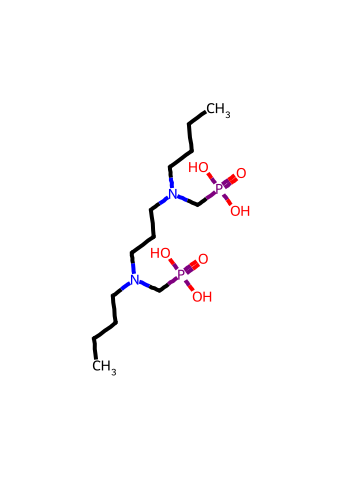 CCCCN(CCCN(CCCC)CP(=O)(O)O)CP(=O)(O)O